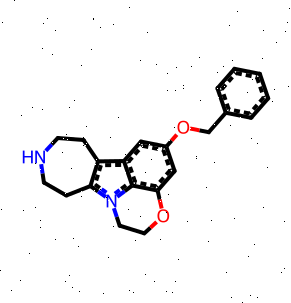 c1ccc(COc2cc3c4c(c2)c2c(n4CCO3)CCNCC2)cc1